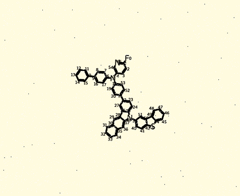 Fc1ccc(N(c2ccc(-c3ccccc3)cc2)c2ccc(-c3ccc4c(c3)c3cc5ccccc5cc3n4-c3ccc4sc5ccccc5c4c3)cc2)cn1